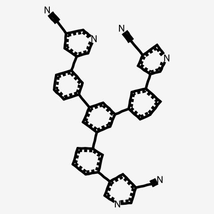 N#Cc1cncc(-c2cccc(-c3cc(-c4cccc(-c5cncc(C#N)c5)c4)cc(-c4cccc(-c5cncc(C#N)c5)c4)c3)c2)c1